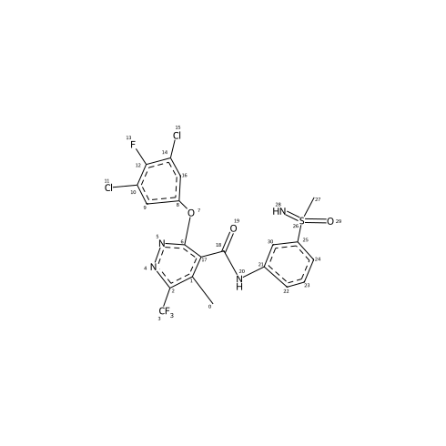 Cc1c(C(F)(F)F)nnc(Oc2cc(Cl)c(F)c(Cl)c2)c1C(=O)Nc1cccc(S(C)(=N)=O)c1